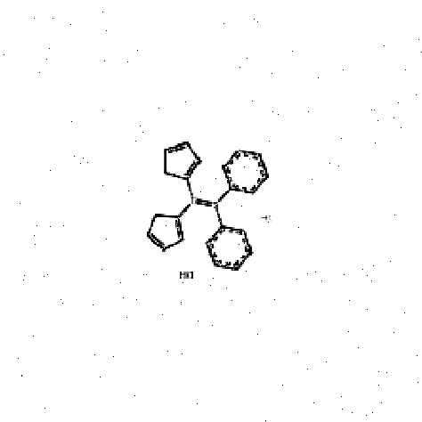 C1=CC[C]([Ti]([C]2=CC=CC2)=[Si](c2ccccc2)c2ccccc2)=C1.Cl.Cl